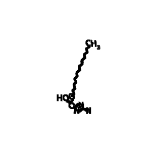 CCCCCCCCCCCCCCCCCCOC[C@H](CO)Oc1cnc(C#N)cn1